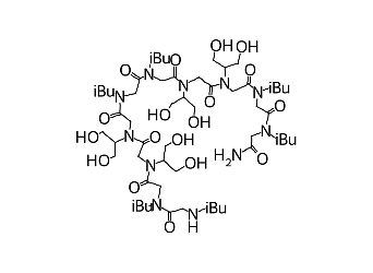 CCC(C)NCC(=O)N(CC(=O)N(CC(=O)N(CC(=O)N(CC(=O)N(CC(=O)N(CC(=O)N(CC(=O)N(CC(=O)N(CC(N)=O)C(C)CC)C(C)CC)C(CO)CO)C(CO)CO)C(C)CC)C(C)CC)C(CO)CO)C(CO)CO)C(C)CC